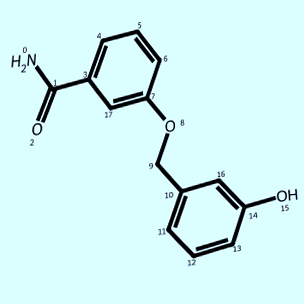 NC(=O)c1cccc(OCc2cccc(O)c2)c1